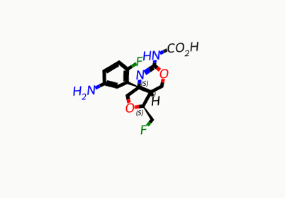 Nc1ccc(F)c([C@]23CO[C@H](CF)[C@H]2COC(NC(=O)O)=N3)c1